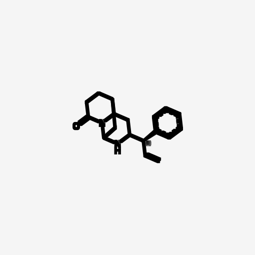 C=C[C@H](c1ccccc1)C1CC2C3CCC(=O)N2C(C3)N1